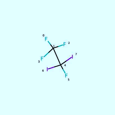 FC(F)(F)C(F)(I)I